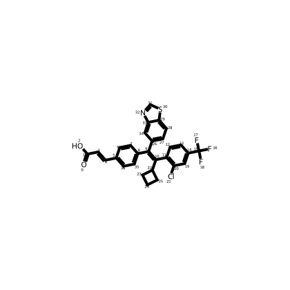 O=C(O)C=Cc1ccc(C(=C(c2ccc(C(F)(F)F)cc2Cl)C2CCC2)c2ccc3scnc3c2)cc1